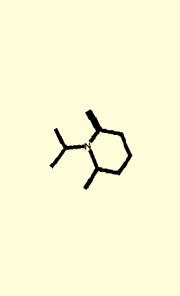 C=C1CCCC(C)N1C(C)C